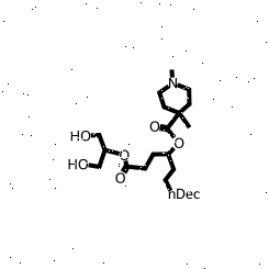 CCCCCCCCCCCCC(CCC(=O)OC(CO)CO)OC(=O)C1(C)CCN(C)CC1